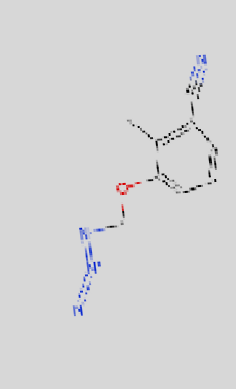 Cc1c(C#N)cccc1OCN=[N+]=[N-]